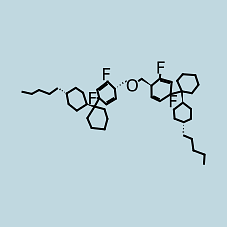 CCCCC[C@H]1CC[C@H](C2([C@@]3(F)C=C[C@@H](COC[C@@H]4C=C[C@](F)(C5([C@H]6CC[C@H](CCCCC)CC6)CCCCC5)C=C4F)C(F)=C3)CCCCC2)CC1